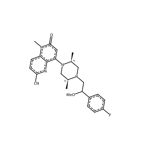 COC(CN1C[C@H](C)N(c2cc(=O)n(C)c3ccc(C#N)nc23)C[C@@H]1C)c1ccc(F)cc1